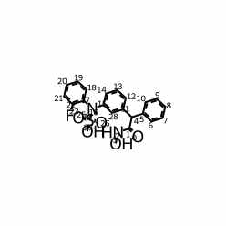 O=C(NO)C(c1ccccc1)c1cccc(N(c2ccccc2F)S(=O)(=O)O)c1